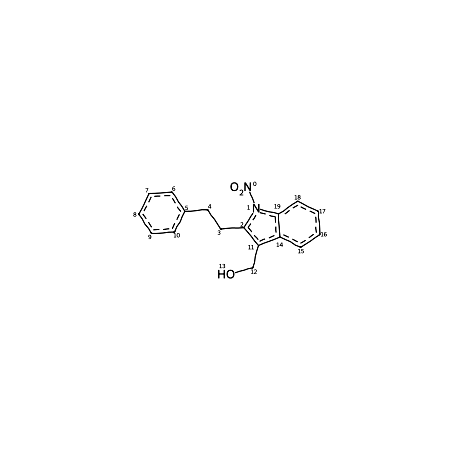 O=[N+]([O-])n1c(CCc2ccccc2)c(CO)c2ccccc21